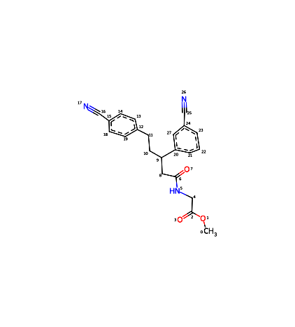 COC(=O)CNC(=O)CC(CCc1ccc(C#N)cc1)c1cccc(C#N)c1